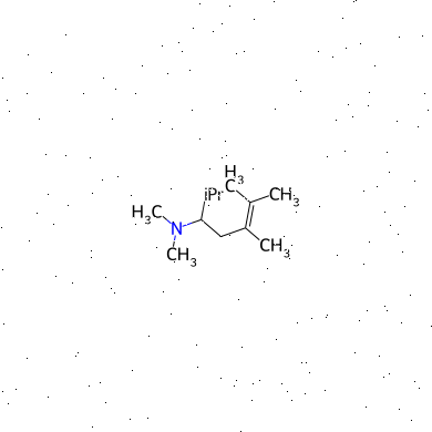 CC(C)=C(C)CC(C(C)C)N(C)C